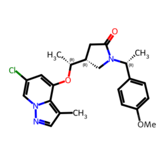 COc1ccc([C@@H](C)N2C[C@H]([C@@H](C)Oc3cc(Cl)cn4ncc(C)c34)CC2=O)cc1